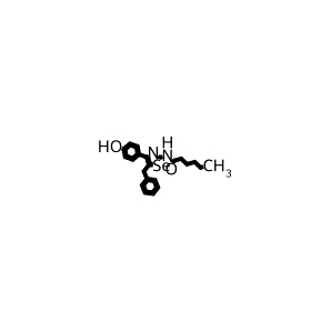 CCCCCC(=O)Nc1nc(-c2ccc(O)cc2)c(Cc2ccccc2)[se]1